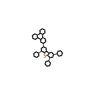 c1ccc(-c2cc(-c3ccccc3)c3sc4c(-c5ccccc5)cc(-c5ccc6c7ccccc7c7ccccc7c6c5)cc4c3c2)cc1